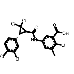 Cc1cc(NC(=O)C2[C@H](c3ccc(Cl)c(Cl)c3)C2(Cl)Cl)cc(C(=O)O)c1Cl